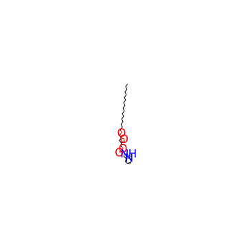 CCCCCCCCCCCCCCCCCCOCC1CC(COC(=O)NCc2ccccn2)CO1